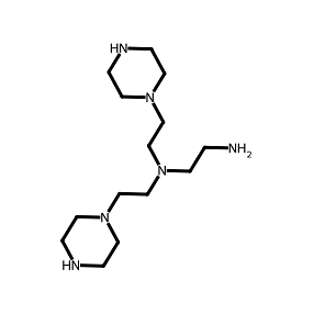 NCCN(CCN1CCNCC1)CCN1CCNCC1